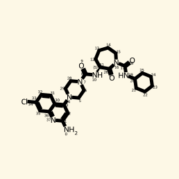 Nc1cc(N2CCN(C(=O)N[C@H]3CCCCN(C(=O)NC4CCCCC4)C3=O)CC2)c2ccc(Cl)cc2n1